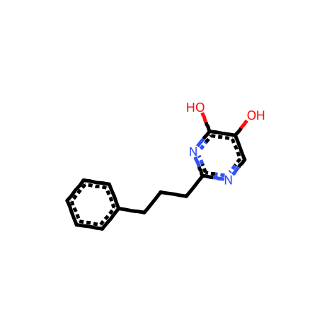 Oc1cnc(CCCc2ccccc2)nc1O